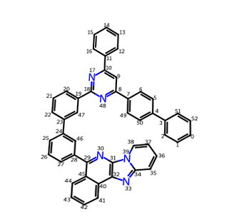 c1ccc(-c2ccc(-c3cc(-c4ccccc4)nc(-c4cccc(-c5cccc(-c6nc7c(nc8ccccn87)c7ccccc67)c5)c4)n3)cc2)cc1